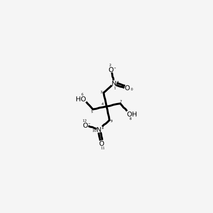 O=[N+]([O-])CC(CO)(CO)C[N+](=O)[O-]